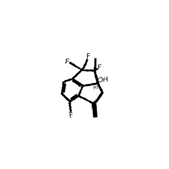 C=C1C[C@@]2(O)c3c(ccc(F)c31)C(F)(F)C2(C)F